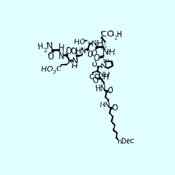 CCCCCCCCCCCCCCCCCC(=O)NCCC(=O)NCC(=O)N[C@@H](CC(=O)O)C(=O)N1CCC[C@H]1C(=O)N[C@@H](CCC(=O)O)C(=O)N[C@@H](CO)C(=O)NCC(=O)N[C@@H](CCC(=O)O)C(=O)NCC(N)=O